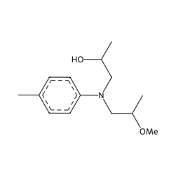 COC(C)CN(CC(C)O)c1ccc(C)cc1